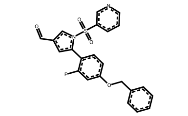 O=Cc1cc(-c2ccc(OCc3ccccc3)cc2F)n(S(=O)(=O)c2cccnc2)c1